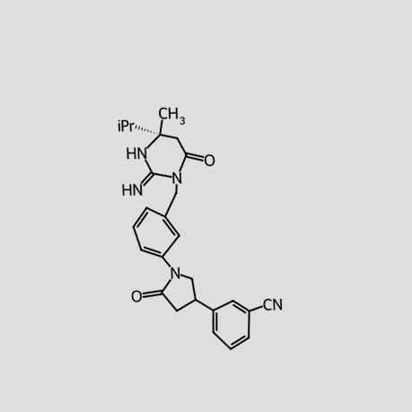 CC(C)[C@]1(C)CC(=O)N(Cc2cccc(N3CC(c4cccc(C#N)c4)CC3=O)c2)C(=N)N1